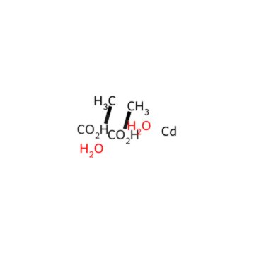 CC(=O)O.CC(=O)O.O.O.[Cd]